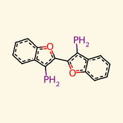 Pc1c(-c2oc3ccccc3c2P)oc2ccccc12